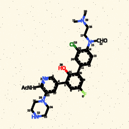 CC(=O)Nc1ncc(-c2cc(F)cc(-c3ccc(N(C=O)CCN(C)C)c(Cl)c3)c2O)cc1N1CCNCC1